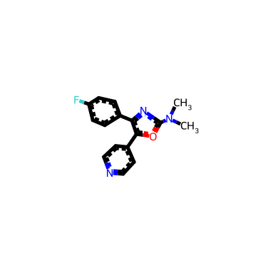 CN(C)c1nc(-c2ccc(F)cc2)c(-c2ccncc2)o1